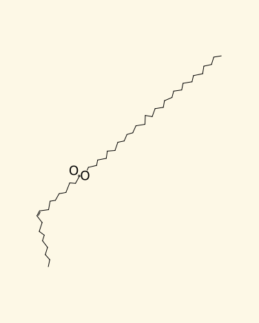 CCCCCCCC/C=C\CCCCCCCC(=O)OCCCCCCCCCCCCCCCCCCCCCCCCCCCC